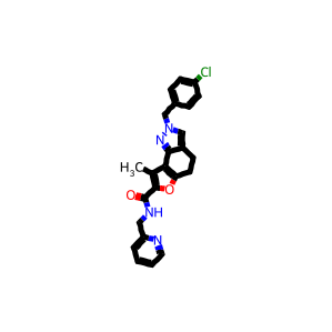 Cc1c(C(=O)NCc2ccccn2)oc2c1-c1nn(Cc3ccc(Cl)cc3)cc1CC2